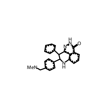 CNCc1ccc(C2Nc3cccc4c(=O)[nH]nc(c34)C2c2ccccc2)cc1